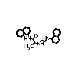 CC(NCCNc1cccc2ccccc12)C(=O)Nc1cccc2ccccc12